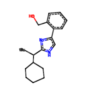 CC(C)(C)C(c1nc(-c2ccccc2CO)c[nH]1)C1CCCCC1